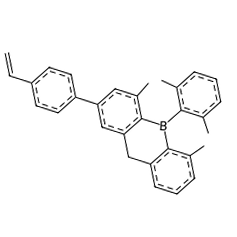 C=Cc1ccc(-c2cc(C)c3c(c2)Cc2cccc(C)c2B3c2c(C)cccc2C)cc1